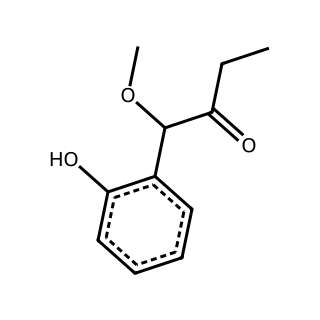 CCC(=O)C(OC)c1ccccc1O